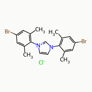 Cc1cc(Br)cc(C)c1-n1cc[n+](-c2c(C)cc(Br)cc2C)c1.[Cl-]